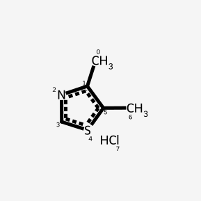 Cc1ncsc1C.Cl